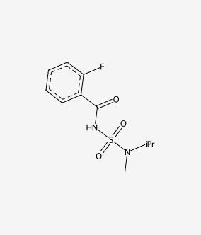 CC(C)N(C)S(=O)(=O)NC(=O)c1ccccc1F